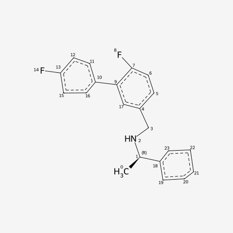 C[C@@H](NCc1ccc(F)c(-c2ccc(F)cc2)c1)c1ccccc1